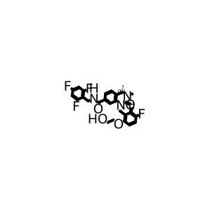 C[C@H]1c2ccc(C(=O)NCc3c(F)cc(F)cc3F)cc2N(Cc2c(OCCO)ccc(F)c2F)C(=O)N1C